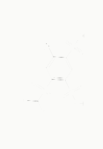 CC(Cl)S(=O)(=O)c1cc(N)c(S(=O)(=O)O)cc1S(=O)(=O)O